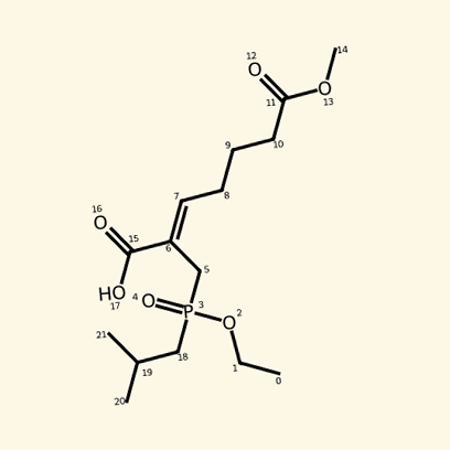 CCOP(=O)(C/C(=C\CCCC(=O)OC)C(=O)O)CC(C)C